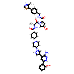 Cc1ncsc1-c1ccc(CNC(=O)[C@@H]2C[C@@H](O)CN2C(=O)[C@@H](NC(=O)[C@H]2CC[C@H](N3CCC(n4cc(-c5cc(-c6ccccc6O)nnc5N)cn4)CC3)CC2)C(C)(C)C)cc1